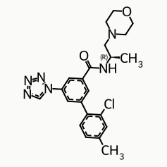 Cc1ccc(-c2cc(C(=O)N[C@H](C)CN3CCOCC3)cc(-n3cnnn3)c2)c(Cl)c1